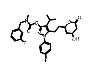 CC(C)c1c(OC(=O)N(C)Cc2cccc(F)c2)nn(-c2ccc(F)cc2)c1CCC1CC(O)CC(=O)O1